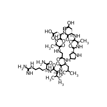 CC(C)C[C@H](NC(=O)CNC(=O)[C@H](C)NC(=O)[C@H](CC(=O)O)NC(=O)[C@H](CC(=O)O)NC(=O)[C@H](C)NC(=O)[C@@H]1CCCN1)C(=O)N[C@H](C(=O)N[C@@H](CCCNC(=N)N)C(N)=O)C(C)C